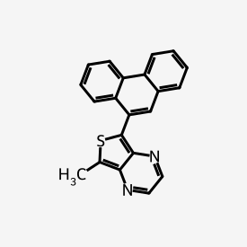 Cc1sc(-c2cc3ccccc3c3ccccc23)c2nccnc12